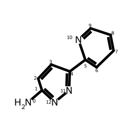 Nc1ccc(-c2ccccn2)nn1